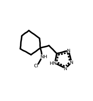 ClNC1(Cc2nnn[nH]2)CCCCC1